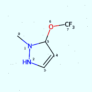 CN1NC=[C]C1OC(F)(F)F